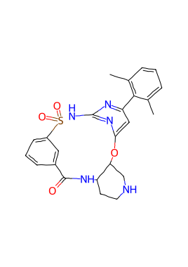 Cc1cccc(C)c1-c1cc2nc(n1)NS(=O)(=O)c1cccc(c1)C(=O)NC1CCNCC1O2